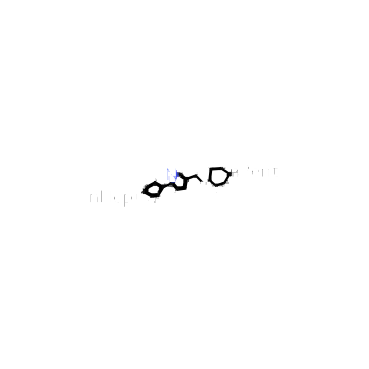 CCCCCCCc1ccc(-c2ccc(CC[C@H]3CC[C@H](CCCCC)CC3)cn2)cc1